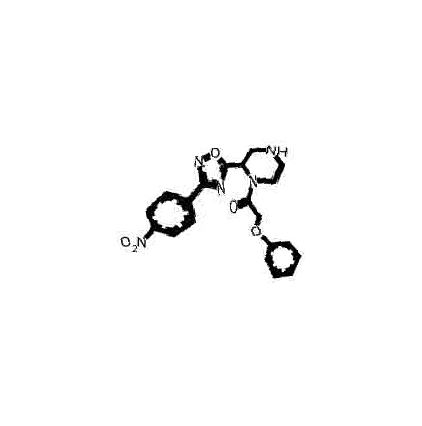 O=C(COc1ccccc1)N1CCNCC1c1nc(-c2ccc([N+](=O)[O-])cc2)no1